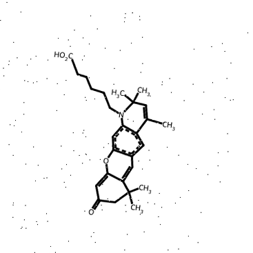 CC1=CC(C)(C)N(CCCCCC(=O)O)c2cc3c(cc21)C=C1C(=CC(=O)CC1(C)C)O3